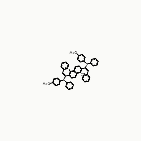 COc1ccc(N(C(=Cc2ccccc2)c2ccc3c(C#N)c(C(=Cc4ccccc4)N(c4ccccc4)c4ccc(OC)cc4)ccc3c2C#N)c2ccccc2)cc1